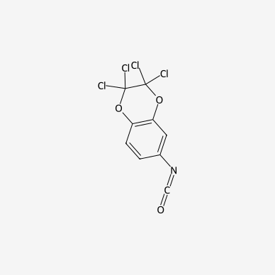 O=C=Nc1ccc2c(c1)OC(Cl)(Cl)C(Cl)(Cl)O2